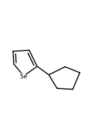 c1c[se]c(C2CCCC2)c1